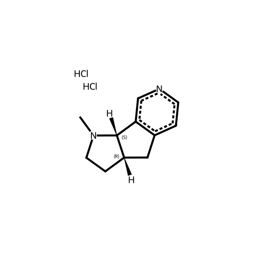 CN1CC[C@H]2Cc3ccncc3[C@H]21.Cl.Cl